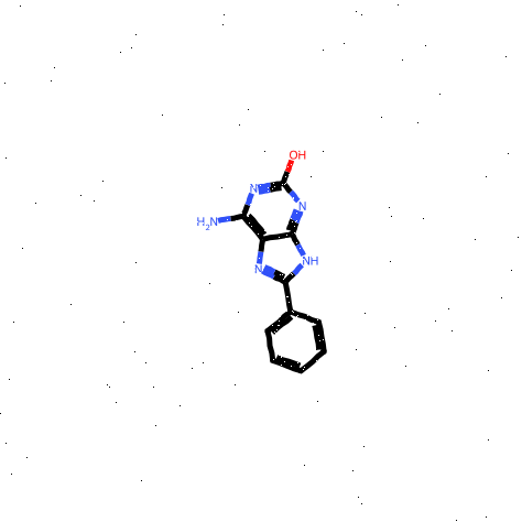 Nc1nc(O)nc2[nH]c(-c3ccccc3)nc12